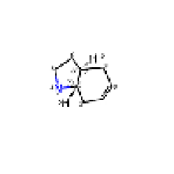 C1=CC[C@@H]2[N]CC[C@H]2C1